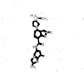 CCn1cc2c(N3CC[C@H](N(C)C)C3)ccc(C(=O)Nc3cc(F)c4nc(C)cn4c3)c2n1